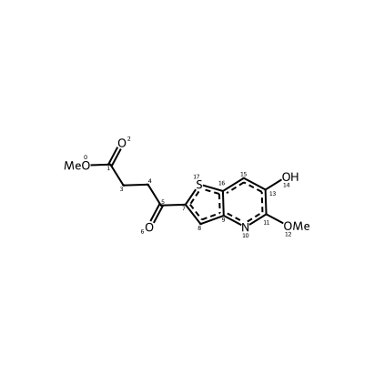 COC(=O)CCC(=O)c1cc2nc(OC)c(O)cc2s1